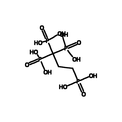 O=P(O)(O)CCC(P(=O)(O)O)(P(=O)(O)O)P(=O)(O)O